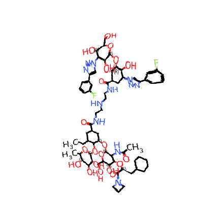 CCC1CC(C(=O)NCCNCCNC(=O)C2CC(n3cc(-c4cccc(F)c4)nn3)C(O)[C@H](O[C@@H]3OC(CO)[C@H](O)C(n4cc(-c5cccc(F)c5)nn4)C3O)C2)C[C@@H](O[C@@H]2OC(CO)[C@H](O)C(O[C@@H](CC3CCCCC3)C(=O)N3CCC3)C2NC(C)=O)C1O[C@@H]1OC(C)[C@@H](O)C(O)C1O